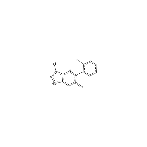 O=c1cc2[nH]nc(Cl)c2nn1-c1ccccc1F